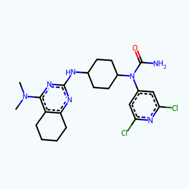 CN(C)c1nc(NC2CCC(N(C(N)=O)c3cc(Cl)nc(Cl)c3)CC2)nc2c1CCCC2